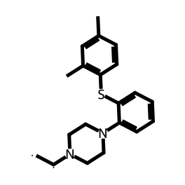 [CH2][CH]N1CCN(c2ccccc2Sc2ccc(C)cc2C)CC1